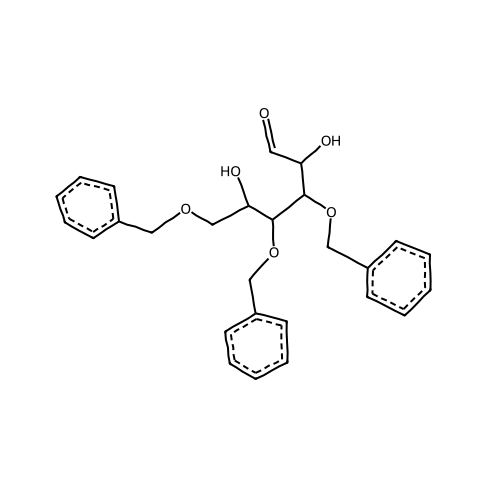 O=CC(O)C(OCc1ccccc1)C(OCc1ccccc1)C(O)COCc1ccccc1